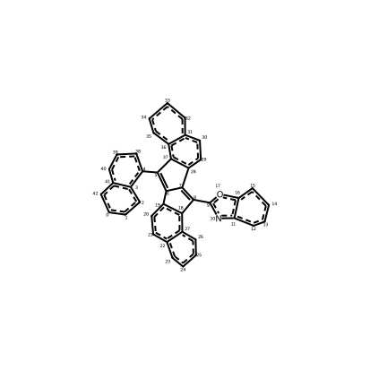 c1ccc2c(C3=C4C(=C(c5nc6ccccc6o5)c5c4ccc4ccccc54)c4ccc5ccccc5c43)cccc2c1